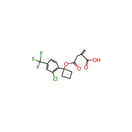 C=C(CC(=O)OC1(c2ccc(C(F)(F)F)cc2Cl)CCC1)C(=O)O